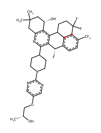 C[C@@H](O)COc1cnc(N2CCC(c3nc4c(c(C5CCC(F)(F)CC5)c3[C@@H](F)c3ccc(C(F)(F)F)cc3)[C@@H](O)CC(C)(C)C4)CC2)nc1